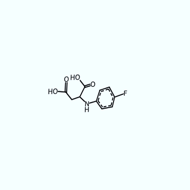 O=C(O)CC(Nc1ccc(F)cc1)C(=O)O